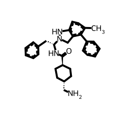 Cc1ccc2c(c1-c1ccccc1)CN([C@@H](Cc1ccccc1)NC(=O)[C@H]1CC[C@H](CN)CC1)N2